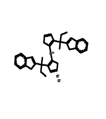 CCC(C)(C1=Cc2ccccc2C1)C1=[C]([Zr+2][C]2=C(C(C)(CC)C3=Cc4ccccc4C3)C=CC2)CC=C1.[Cl-].[Cl-]